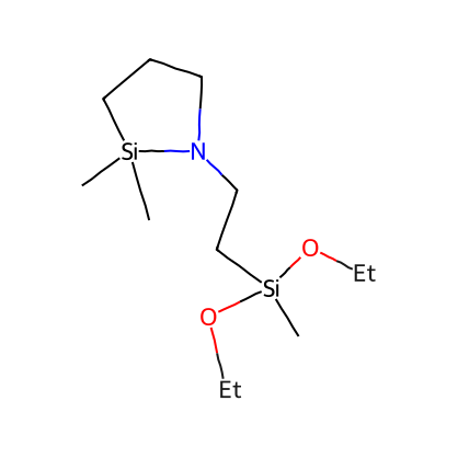 CCO[Si](C)(CCN1CCC[Si]1(C)C)OCC